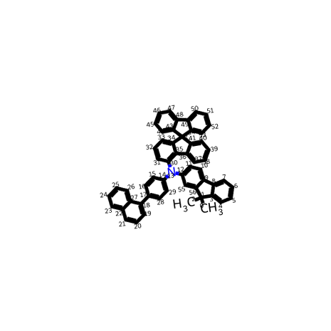 CC1(C)c2ccccc2-c2ccc(N(c3ccc(-c4cccc5ccccc45)cc3)c3cccc4c3-c3ccccc3C43c4ccccc4-c4ccccc43)cc21